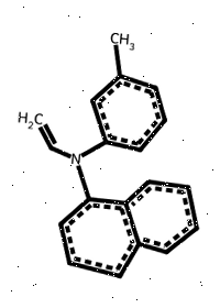 C=CN(c1cccc(C)c1)c1cccc2ccccc12